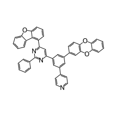 c1ccc(-c2nc(-c3cc(-c4ccncc4)cc(-c4ccc5c(c4)Oc4ccccc4O5)c3)cc(-c3cccc4oc5ccccc5c34)n2)cc1